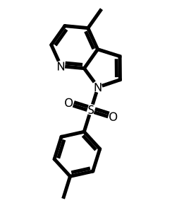 Cc1ccc(S(=O)(=O)n2ccc3c(C)ccnc32)cc1